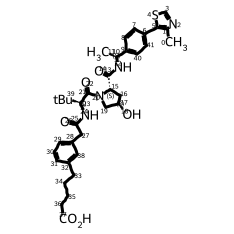 Cc1ncsc1-c1ccc([C@H](C)NC(=O)[C@@H]2C[C@@H](O)CN2C(=O)[C@@H](NC(=O)Cc2cccc(CCCCC(=O)O)c2)C(C)(C)C)cc1